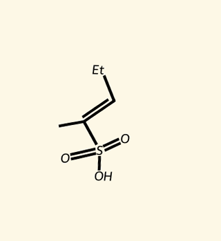 CC/C=C(\C)S(=O)(=O)O